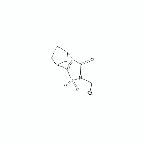 O=C1C2=C(C3CCC2C3)S(=O)(=O)N1CCl